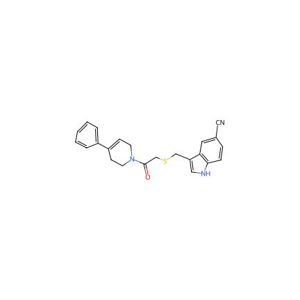 N#Cc1ccc2[nH]cc(CSCC(=O)N3CC=C(c4ccccc4)CC3)c2c1